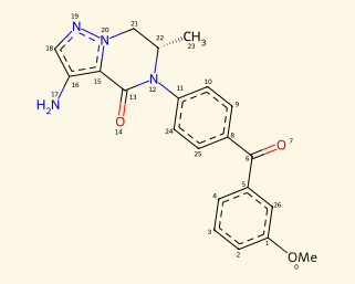 COc1cccc(C(=O)c2ccc(N3C(=O)c4c(N)cnn4C[C@@H]3C)cc2)c1